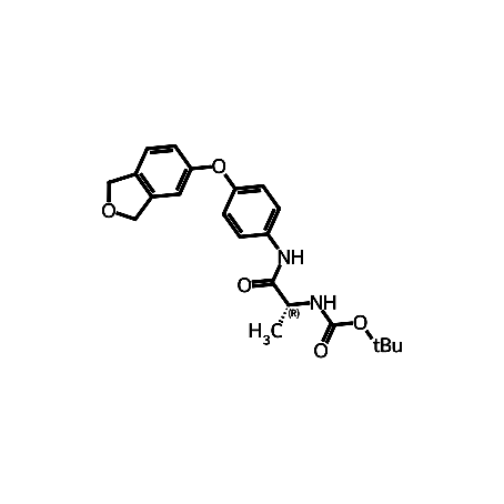 C[C@@H](NC(=O)OC(C)(C)C)C(=O)Nc1ccc(Oc2ccc3c(c2)COC3)cc1